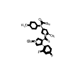 CC1CCC(N(C(=O)C(C)(C)C)[C@H]2C[C@@H](C#N)N(C(=O)[C@@H]3CN(C(C)(C)C)C[C@H]3c3ccc(F)cc3F)C2)CC1